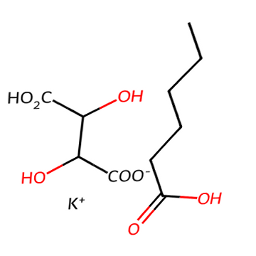 CCCCCC(=O)O.O=C([O-])C(O)C(O)C(=O)O.[K+]